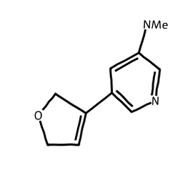 CNc1cncc(C2=CCOC2)c1